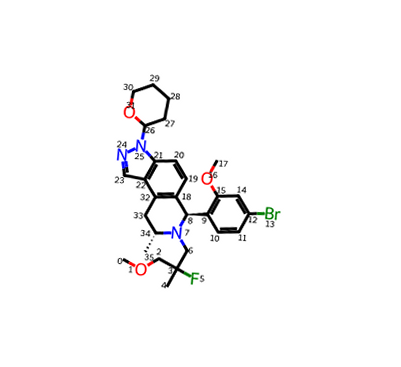 COCC(C)(F)CN1[C@H](c2ccc(Br)cc2OC)c2ccc3c(cnn3C3CCCCO3)c2C[C@H]1C